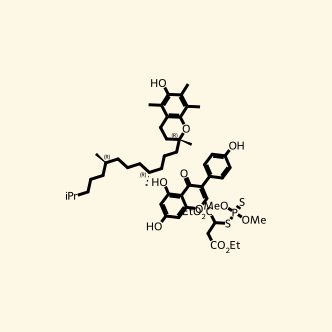 CCOC(=O)CC(SP(=S)(OC)OC)C(=O)OCC.Cc1c(C)c2c(c(C)c1O)CC[C@@](C)(CCC[C@H](C)CCC[C@H](C)CCCC(C)C)O2.O=c1c(-c2ccc(O)cc2)coc2cc(O)cc(O)c12